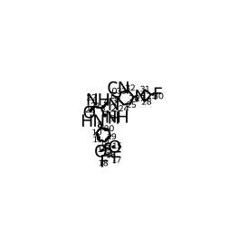 N#CCC1(N/C=C(\C(=N)Nc2ccc(S(=O)(=O)C(F)F)cc2)C(N)=O)CCC(N2CC(F)C2)CC1